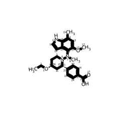 CCO[C@@H]1CCN(N(C)c2c(OC)cc(C)c3[nH]ccc23)[C@H](c2ccc(C(=O)O)cc2)C1